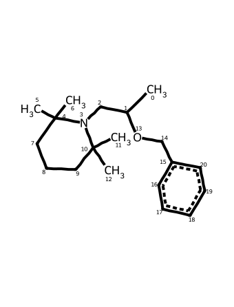 CC(CN1C(C)(C)CCCC1(C)C)OCc1ccccc1